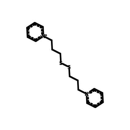 c1cc[n+](CCCSSCCC[n+]2ccccc2)cc1